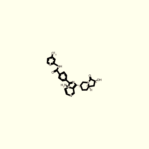 N[N+]12C=CN=CC1=C([C@H]1CC[C@@H]3C[C@@H](O)C(=O)N3C1)N=C2c1ccc(C(=O)Nc2cc(C(F)(F)F)ccn2)cc1